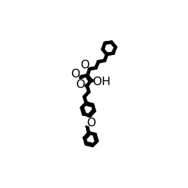 O=C(CCCC1CCCCC1)C1=C(O)C(CCc2ccc(OCc3ccccc3)cc2)OC1=O